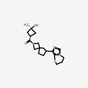 C[C@]1(O)C[C@@H](C(=O)N2CC3(CCC(c4ncn5c4CCCC5)C3)C2)C1